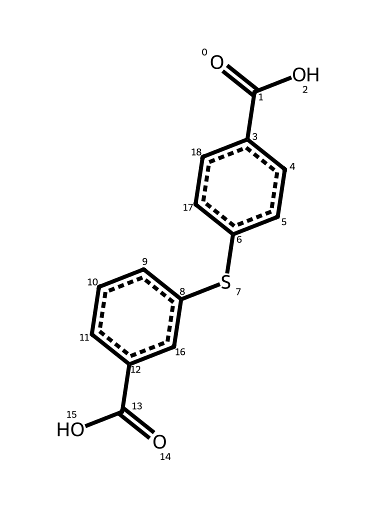 O=C(O)c1ccc(Sc2cccc(C(=O)O)c2)cc1